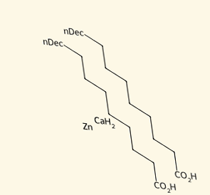 CCCCCCCCCCCCCCCCCC(=O)O.CCCCCCCCCCCCCCCCCC(=O)O.[CaH2].[Zn]